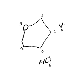 C1CCOC1.Cl.[V]